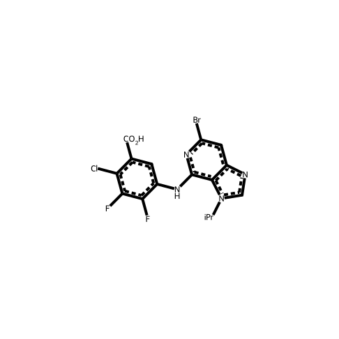 CC(C)n1cnc2cc(Br)nc(Nc3cc(C(=O)O)c(Cl)c(F)c3F)c21